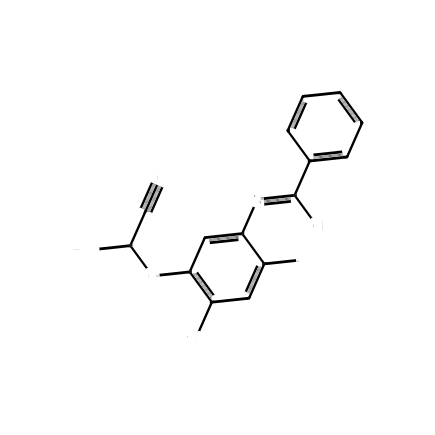 C#CC(C)Oc1cc(N=C(Cl)c2ccccc2)c(F)cc1Cl